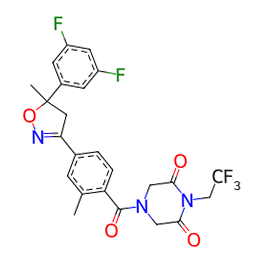 Cc1cc(C2=NOC(C)(c3cc(F)cc(F)c3)C2)ccc1C(=O)N1CC(=O)N(CC(F)(F)F)C(=O)C1